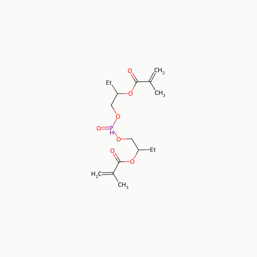 C=C(C)C(=O)OC(CC)CO[PH](=O)OCC(CC)OC(=O)C(=C)C